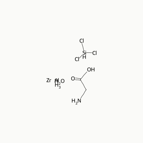 Cl[SiH](Cl)Cl.NCC(=O)O.O.[AlH3].[Zr]